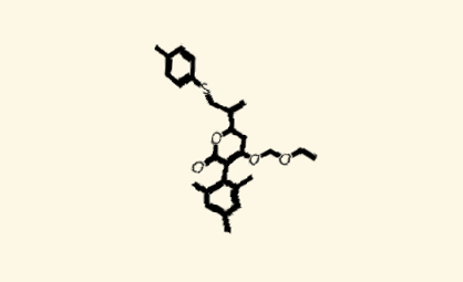 CCOCOC1=C(c2c(C)cc(C)cc2C)C(=O)OC(C(C)CSc2ccc(C)cc2)C1